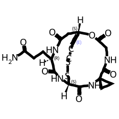 NC(=O)CC[C@H]1NC(=O)C[C@H]2/C=C/CCSSC[C@@H](NC1=O)C(=O)NC1(CC1)C(=O)NCC(=O)O2